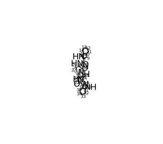 CC(C)(C)[C@H](NC(=O)c1cc2ccccc2[nH]1)C(=O)N1C[C@@H]2C[C@H]1CN2C(=O)c1n[nH]c2ccccc12